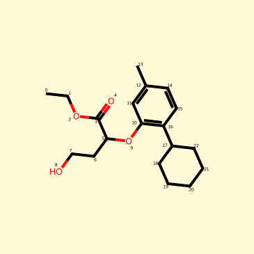 CCOC(=O)C(CCO)Oc1cc(C)ccc1C1CCCCC1